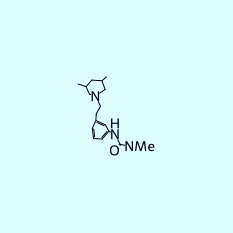 CNC(=O)Nc1cccc(CCN2CC(C)CC(C)C2)c1